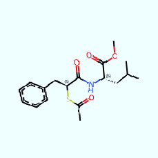 COC(=O)[C@H](CC(C)C)NC(=O)[C@H](Cc1ccccc1)SC(C)=O